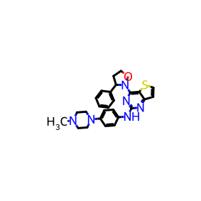 CN1CCN(c2ccc(Nc3nc(N4OCCC4c4ccccc4)c4sccc4n3)cc2)CC1